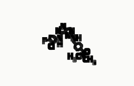 CN(C)C(=O)C1CCC(CNc2ncc3ncnc(Nc4ccc(F)c(Cl)c4)c3n2)CC1